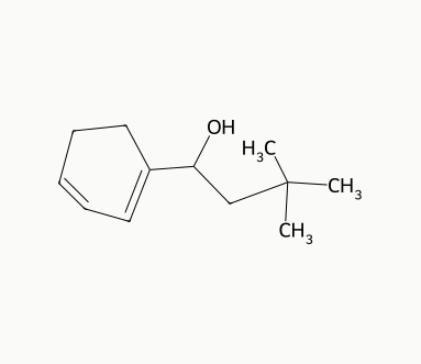 CC(C)(C)CC(O)C1=CC=CCC1